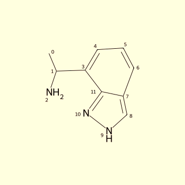 CC(N)c1cccc2c[nH]nc12